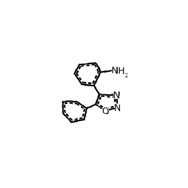 Nc1ccccc1-c1nnoc1-c1ccccc1